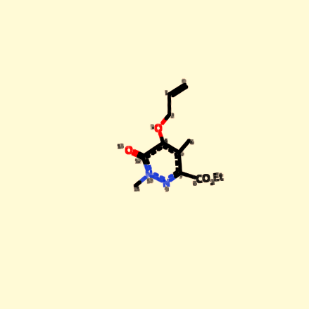 C=CCOc1c(C)c(C(=O)OCC)nn(C)c1=O